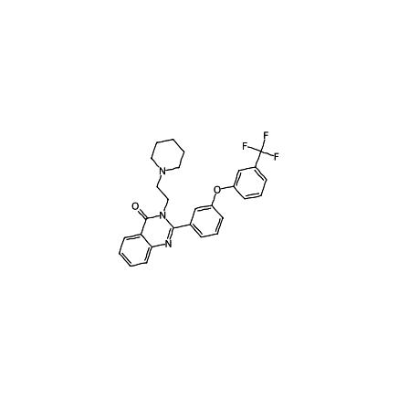 O=c1c2ccccc2nc(-c2cccc(Oc3cccc(C(F)(F)F)c3)c2)n1CCN1CCCCC1